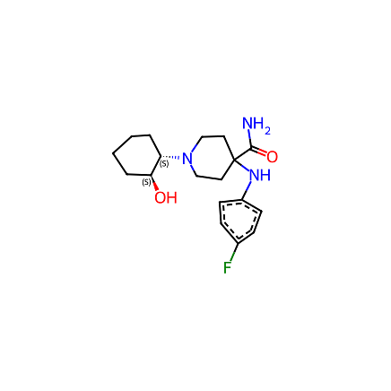 NC(=O)C1(Nc2ccc(F)cc2)CCN([C@H]2CCCC[C@@H]2O)CC1